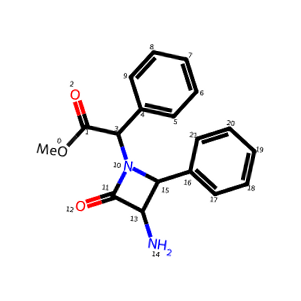 COC(=O)C(c1ccccc1)N1C(=O)C(N)C1c1ccccc1